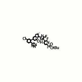 C[C@H]1Cc2cc(-c3cc(Cl)ccc3-n3cnnn3)cc(=O)n2[C@@H]1c1nc(F)c(-c2ccc(N(C)C(=O)OC(C)(C)C)nc2F)[nH]1